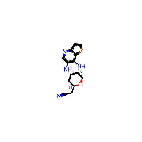 N#CC[C@H]1CC[C@H](Nc2c(N)cnc3ccsc23)CO1